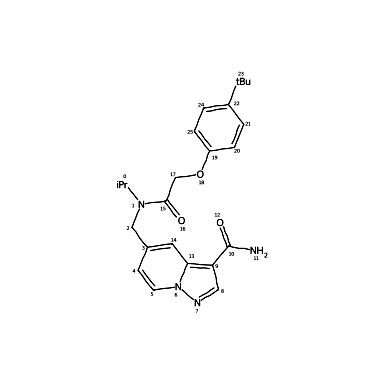 CC(C)N(Cc1ccn2ncc(C(N)=O)c2c1)C(=O)COc1ccc(C(C)(C)C)cc1